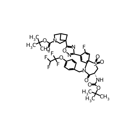 CC(C)(C)OC(=O)N[C@H]1CS(=O)(=O)c2cc(F)c(-c3noc(C45CC(CN(C(=O)OC(C)(C)C)C4)C5)n3)cc2N(Cc2ccc(OC(F)(F)C(F)F)cc2)C1=O